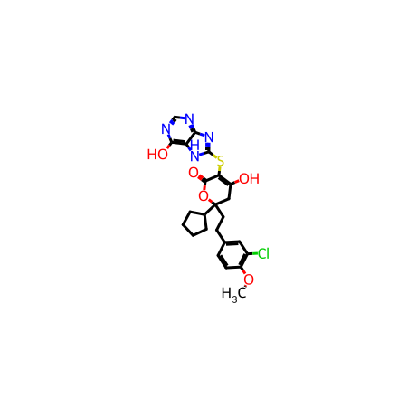 COc1ccc(CCC2(C3CCCC3)CC(O)=C(Sc3nc4ncnc(O)c4[nH]3)C(=O)O2)cc1Cl